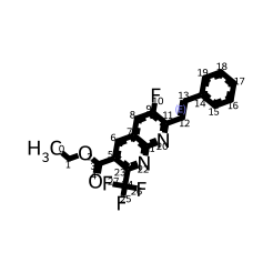 CCOC(=O)c1cc2cc(F)c(/C=C/c3ccccc3)nc2nc1C(F)(F)F